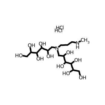 CNCCCN(CC(O)C(O)C(O)C(O)CO)CC(O)C(O)C(O)C(O)CO.Cl.Cl